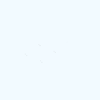 COc1ccccc1CNC(=N)Nc1ccccn1